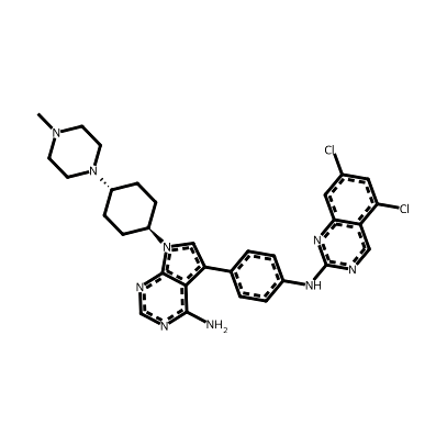 CN1CCN([C@H]2CC[C@H](n3cc(-c4ccc(Nc5ncc6c(Cl)cc(Cl)cc6n5)cc4)c4c(N)ncnc43)CC2)CC1